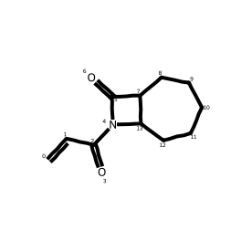 C=CC(=O)N1C(=O)C2CCCCCC21